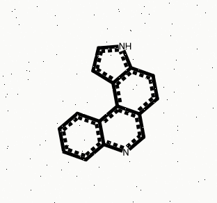 c1ccc2c(c1)ncc1ccc3[nH]ccc3c12